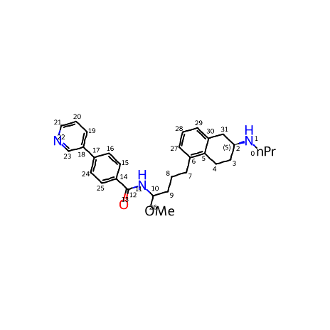 CCCN[C@H]1CCc2c(CCCC(NC(=O)c3ccc(-c4cccnc4)cc3)OC)cccc2C1